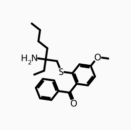 CCCCC(N)(CC)CSc1cc(OC)ccc1C(=O)c1ccccc1